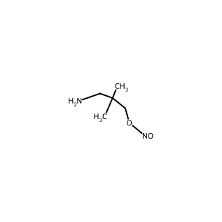 CC(C)(CN)CON=O